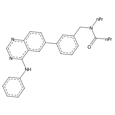 CCCC(=O)N(CCC)Cc1cccc(-c2ccc3ncnc(Nc4ccccc4)c3c2)c1